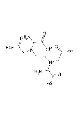 NC(C(=O)O)N(CCN(CC(=O)O)C(N)C(=O)O)CC(=O)O